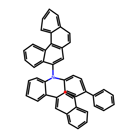 c1ccc(-c2ccc(N(c3ccccc3-c3ccc4ccccc4c3)c3cc4ccc5ccccc5c4c4ccccc34)cc2)cc1